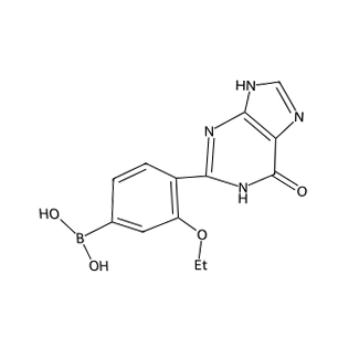 CCOc1cc(B(O)O)ccc1-c1nc2[nH]cnc2c(=O)[nH]1